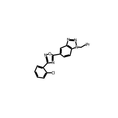 CC(C)Cn1nnc2cc(-c3nc(-c4ccccc4Cl)no3)ccc21